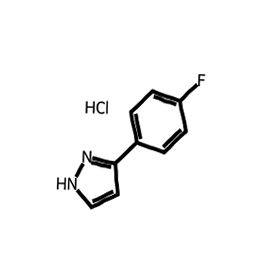 Cl.Fc1ccc(-c2cc[nH]n2)cc1